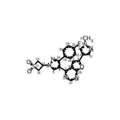 Cn1cc(-c2cc3c(-c4cn(C5CS(=O)(=O)C5)nc4-c4ccc(F)cc4)ncnc3o2)cn1